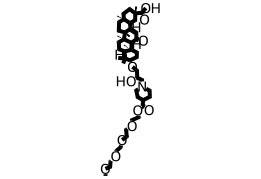 COCCOCCOCCOCCOC(=O)C1CCN(CC(O)CO[C@H]2CC[C@]3(C)[C@H]4C(=O)C=C5[C@@H]6C[C@@](C)(C(=O)O)CC[C@]6(C)CC[C@@]5(C)[C@]4(C)CC[C@H]3C2(C)C)CC1